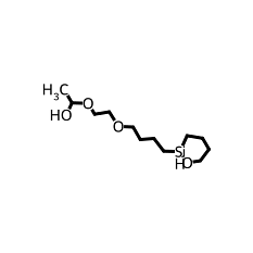 CC(O)OCCOCCCC[SiH]1CCCCO1